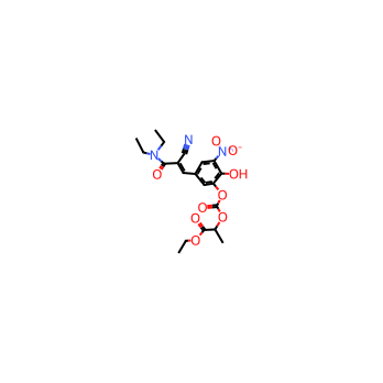 CCOC(=O)C(C)OC(=O)Oc1cc(/C=C(\C#N)C(=O)N(CC)CC)cc([N+](=O)[O-])c1O